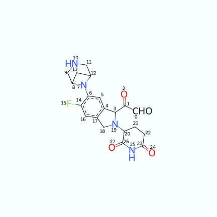 O=CC(=O)C1c2cc(N3C4CNCC3C4)c(F)cc2CN1C1CCC(=O)NC1=O